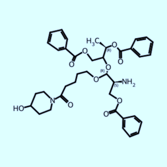 C[C@@H](OC(=O)c1ccccc1)C(COC(=O)c1ccccc1)O[C@@H](OCCCCC(=O)N1CCC(O)CC1)[C@@H](N)COC(=O)c1ccccc1